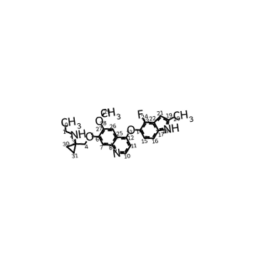 CCNC1(COc2cc3nccc(Oc4ccc5[nH]c(C)cc5c4F)c3cc2OC)CC1